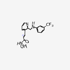 O=C(/C=C/c1cccnc1CNc1cccc(C(F)(F)F)c1)NO